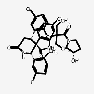 CCC(CC)(Oc1ccc(Cl)cc1[C@H]1CC(=O)N[C@@H](c2cc(F)ccc2C)[C@]12C(=O)Nc1cc(Cl)ccc12)C(=O)N1CC[C@H](O)C1